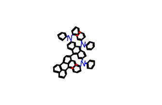 c1ccc(N(c2ccccc2)c2ccc3c(N(c4ccccc4)c4ccccc4)c4cc(N(c5ccccc5)c5ccccc5)ccc4c(-c4ccc5c6cccc7cccc(c8cccc4c85)c76)c3c2)cc1